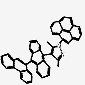 Cc1nn(-c2cc3cccc4ccc5cccc2c5c43)c(C)c1-c1c2ccccc2c(-c2cc3ccccc3c3ccccc23)c2ccccc12